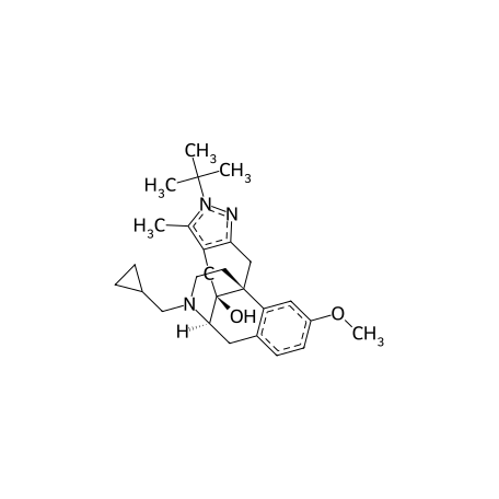 COc1ccc2c(c1)[C@]13CCN(CC4CC4)[C@H](C2)[C@]1(O)Cc1c(nn(C(C)(C)C)c1C)C3